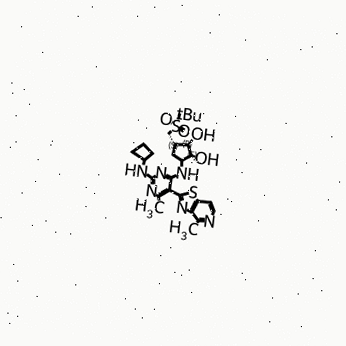 Cc1nc(NC2CCC2)nc(NC2C[C@H](CS(=O)(=O)C(C)(C)C)[C@@H](O)[C@H]2O)c1-c1nc2c(C)nccc2s1